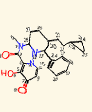 CN1C(=O)c2c(O)c(=O)ccn2N2C(c3ccccc3)C(CCC3CC3)CCC12